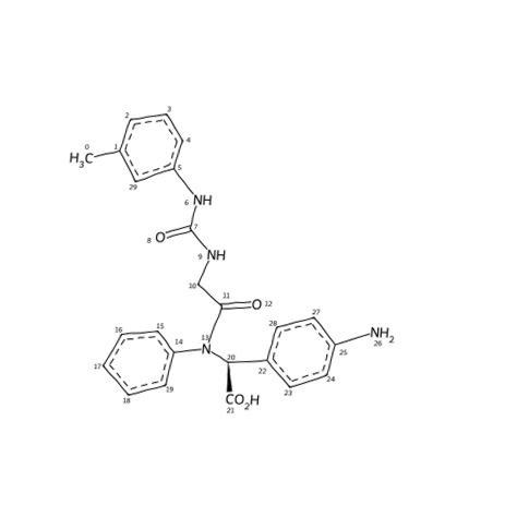 Cc1cccc(NC(=O)NCC(=O)N(c2ccccc2)[C@H](C(=O)O)c2ccc(N)cc2)c1